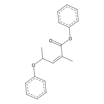 CC(=CC(C)Oc1ccccc1)C(=O)Oc1ccccc1